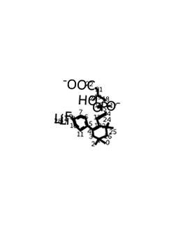 CC1(C)CC(c2ccc(F)cc2)=C(C=CP(=O)([O-])C[C@@H](O)CC(=O)[O-])C(C)(C)C1.[Li+].[Li+]